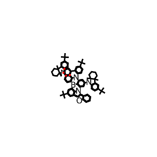 CC(C)(C)c1ccc(N2c3cc(N4c5ccc(C(C)(C)C)cc5C5(C)CCCCC45C)ccc3B3c4c2cc(N2c5ccc(C(C)(C)C)cc5C5(C)CCCCC25C)cc4-n2c4c3cc(C(C)(C)C)cc4c3oc4ccccc4c32)c(-c2ccccc2)c1